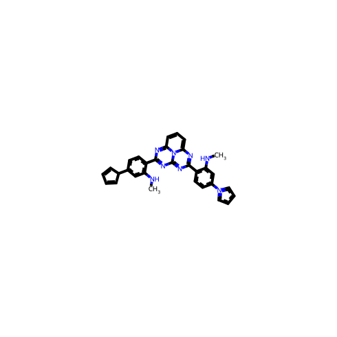 CNc1cc(-n2cccc2)ccc1C1=NC2=CC=CC3=NC(c4ccc(C5C=CC=C5)cc4NC)=NC(=N1)N23